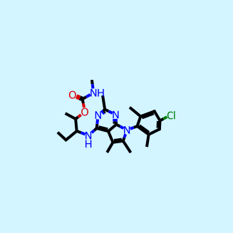 CCC(Nc1nc(C)nc2c1c(C)c(C)n2-c1c(C)cc(Cl)cc1C)C(C)OC(=O)NC